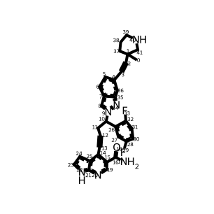 CC1(C#Cc2ccc3cn(C(CC#Cc4c(C(N)=O)cnc5[nH]ccc45)c4cc(F)ccc4F)nc3c2)CCCNC1